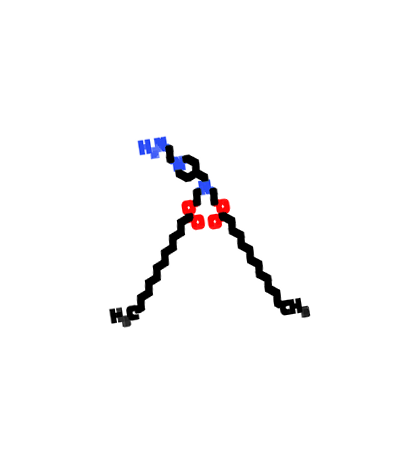 CCCCCCCCCCCCCC(=O)OCCN(CCOC(=O)CCCCCCCCCCCCC)CC1CCN(CCN)CC1